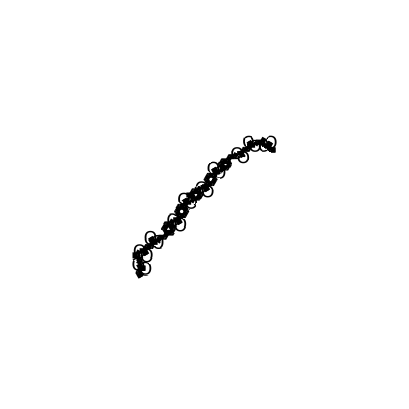 C=CC(=O)OCC(C)OC(=O)CCC(=O)OCCc1ccc(OC(=O)C2CCC(C(=O)Oc3ccc(OC(=O)C4CCC(C(=O)Oc5ccc(CCOC(=O)CCC(=O)OCC(C)OC(=O)C=C)cc5)CC4)cc3C)CC2)cc1